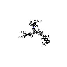 COc1cc(Cl)c(/C=N/OC2C[C@H](n3cc(CNC(=O)c4cc5c(O)cccc5cc4O)c(=O)[nH]c3=O)O[C@@H]2COP(=O)(O)OCC2C[C@H](OC(C)=O)O[C@@H]2OC(C)=O)c(Cl)c1O